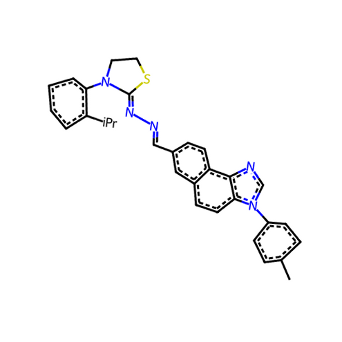 Cc1ccc(-n2cnc3c4ccc(/C=N/N=C5\SCCN5c5ccccc5C(C)C)cc4ccc32)cc1